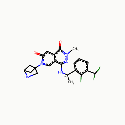 C[C@@H](Nc1nn(C)c(=O)c2cc(=O)n(C34CNC(C3)C4)cc12)c1cccc(C(F)F)c1F